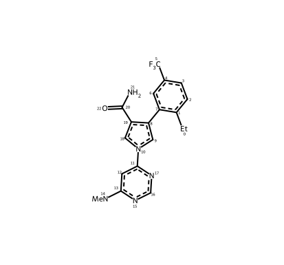 CCc1ccc(C(F)(F)F)cc1-c1cn(-c2cc(NC)ncn2)cc1C(N)=O